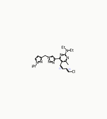 CCN(CC)c1nc(C)c(/C=C\C=C\Cl)c(-c2cn(Cc3ccn(C(C)C)n3)nn2)n1